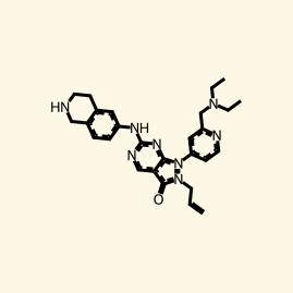 C=CCn1c(=O)c2cnc(Nc3ccc4c(c3)CCNC4)nc2n1-c1ccnc(CN(CC)CC)c1